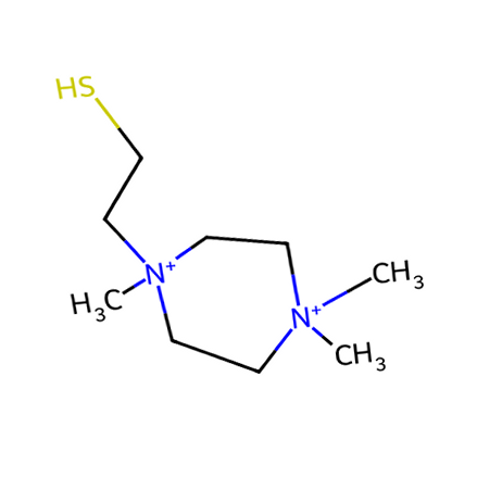 C[N+]1(C)CC[N+](C)(CCS)CC1